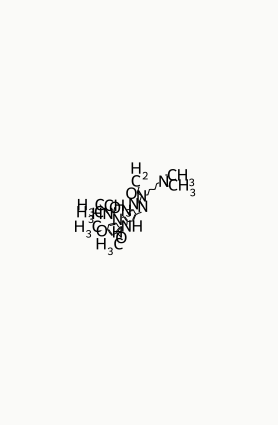 C=CC(=O)N(CCCCN(CC)CC)c1ncc2cc(Nc3ccc(OC)cc3OC)c(NC(=O)NC(C)(C)C)nc2n1